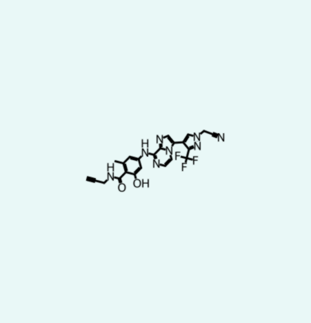 C#CCNC(=O)c1c(C)cc(Nc2nccn3c(-c4cn(CC#N)nc4C(F)(F)F)cnc23)cc1O